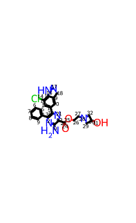 Nc1nc(-c2ccccc2)c(-c2cc(Cl)c3[nH]ncc3c2)nc1C(=O)OCCN1CC(O)C1